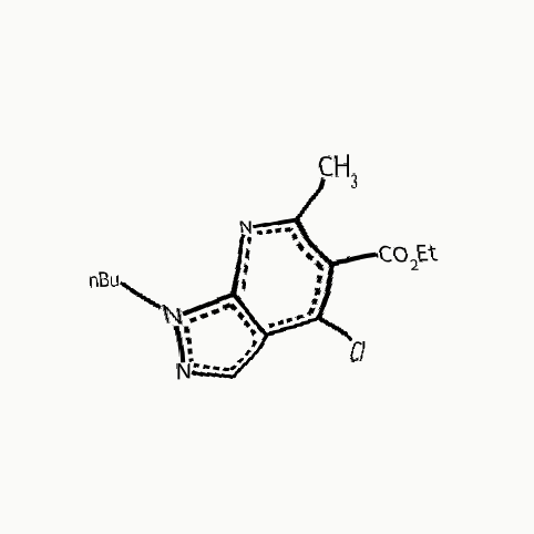 CCCCn1ncc2c(Cl)c(C(=O)OCC)c(C)nc21